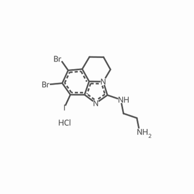 Cl.NCCNc1nc2c(I)c(Br)c(Br)c3c2n1CCC3